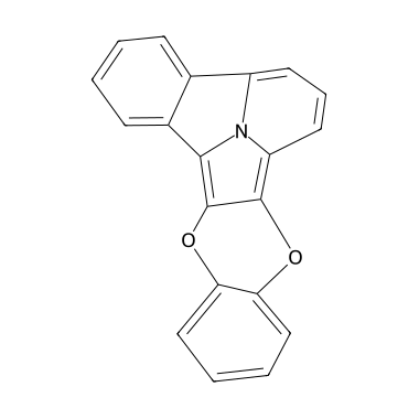 c1ccc2c(c1)Oc1c(c3c4ccccc4c4cccc1n43)O2